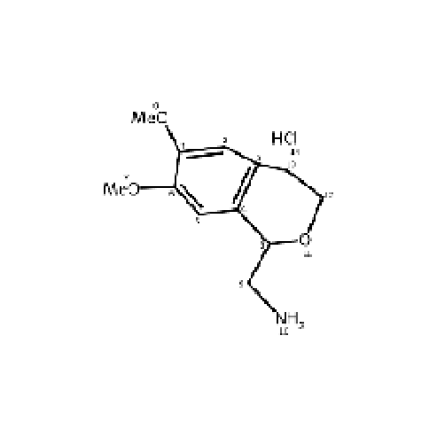 COc1cc2c(cc1OC)C(CN)OCC2.Cl